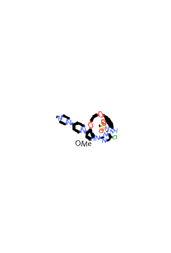 COc1cc(N2CCC(N3CCN(C)CC3)CC2)c2cc1Nc1ncc(Cl)c(n1)Nc1ccc(cc1N(C)S(C)(=O)=O)OCCCO2